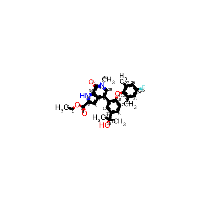 CCOC(=O)c1cc2c(-c3cc(C(C)(C)O)ccc3Oc3c(C)cc(F)cc3C)cn(C)c(=O)c2[nH]1